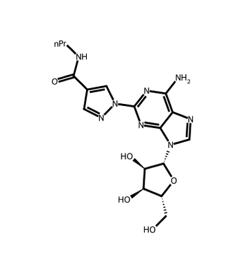 CCCNC(=O)c1cnn(-c2nc(N)c3ncn([C@@H]4O[C@H](CO)[C@@H](O)[C@H]4O)c3n2)c1